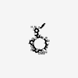 CC#CCOC1CC(C=C(C)C2OC(=O)C3CCCCN3C(=O)C(=O)C3(O)OC(C(OC)CC(C)C(F)/C(C)=C/C(CC)C(=O)CCC2C)C(OC)CC3C)CCC1N